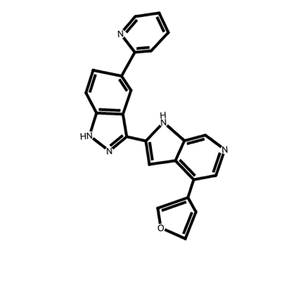 c1ccc(-c2ccc3[nH]nc(-c4cc5c(-c6ccoc6)cncc5[nH]4)c3c2)nc1